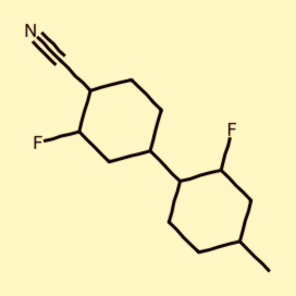 CC1CCC(C2CCC(C#N)C(F)C2)C(F)C1